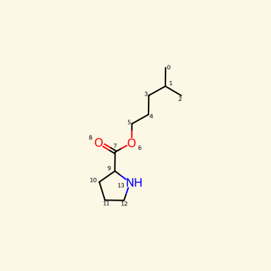 CC(C)CCCOC(=O)C1CCCN1